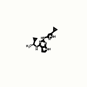 C[C@H](Nc1nc(Nc2cc(C3CC3)[nH]n2)nc2[nH]ccc12)C1CC1